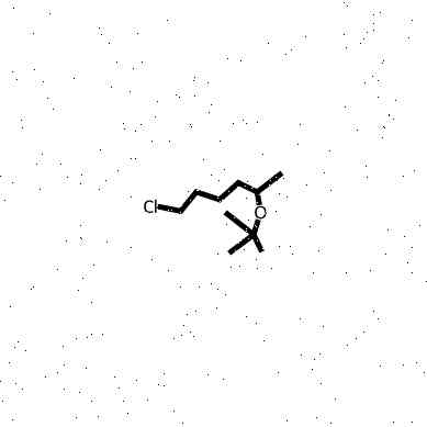 CC(CCCCCl)OC(C)(C)C